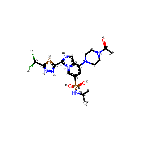 CC(C)C(=O)N1CCN(c2cc(S(=O)(=O)NC(C)C(F)(F)F)cn3c(-c4nnc(C(F)F)s4)ncc23)CC1